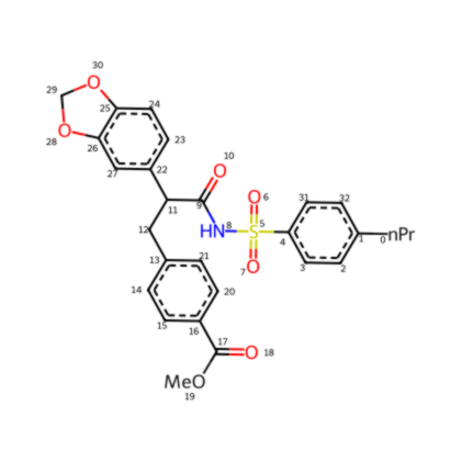 CCCc1ccc(S(=O)(=O)NC(=O)C(Cc2ccc(C(=O)OC)cc2)c2ccc3c(c2)OCO3)cc1